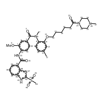 COc1cc(C(=O)N(C)c2ccc(C)cc2OCCCCCC(=O)N2CCN(C)CC2)ccc1NC(=O)c1cccc2[nH]c(S(C)(=O)=O)nc12